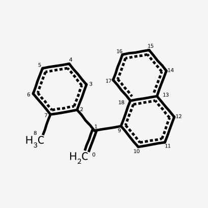 C=C(c1ccccc1C)c1cccc2ccccc12